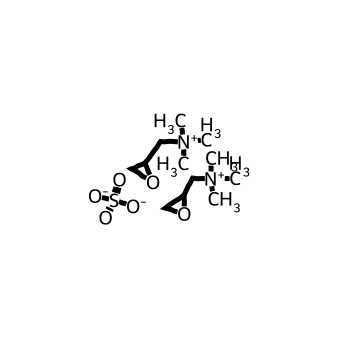 C[N+](C)(C)CC1CO1.C[N+](C)(C)CC1CO1.O=S(=O)([O-])[O-]